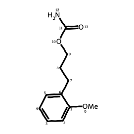 COc1ccccc1CCCOC(N)=O